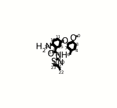 COc1ccc(C)cc1Oc1ccc(N)c(C(=O)Nc2nc(C)cs2)c1